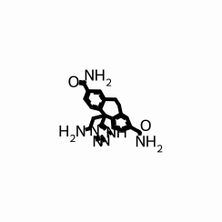 NCCC1(c2nnn[nH]2)c2ccc(C(N)=O)cc2CCc2cc(C(N)=O)ccc21